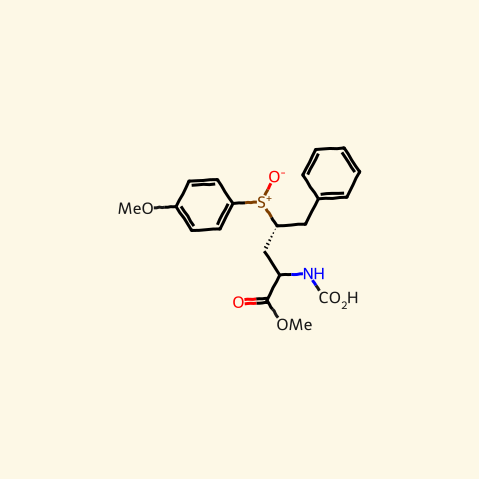 COC(=O)C(C[C@@H](Cc1ccccc1)[S+]([O-])c1ccc(OC)cc1)NC(=O)O